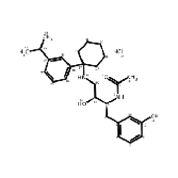 CC(=O)N[C@@H](Cc1cccc(O)c1)[C@@H](O)CNC1(c2cccc(C(C)C)c2)CCCCC1.Cl